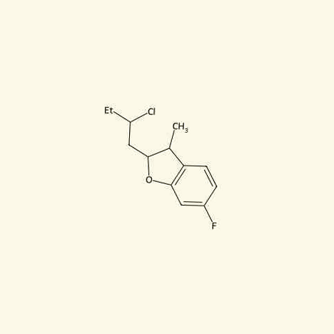 CCC(Cl)CC1Oc2cc(F)ccc2C1C